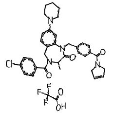 CC1C(=O)N(Cc2ccc(C(=O)N3CC=CC3)cc2)c2cc(N3CCCCC3)ccc2CN1C(=O)c1ccc(Cl)cc1.O=C(O)C(F)(F)F